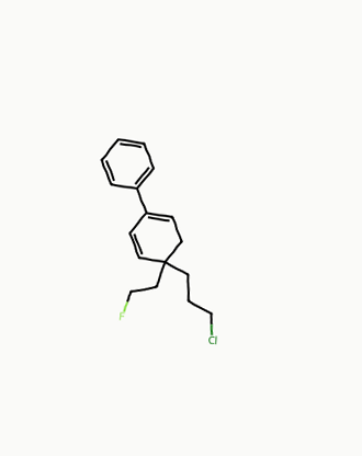 FCCC1(CCCCl)C=CC(c2ccccc2)=CC1